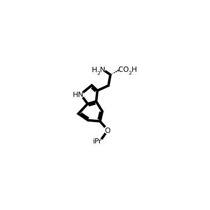 CC(C)Oc1ccc2[nH]cc(C[C@H](N)C(=O)O)c2c1